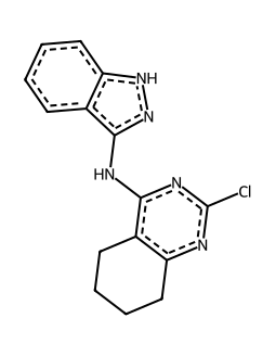 Clc1nc2c(c(Nc3n[nH]c4ccccc34)n1)CCCC2